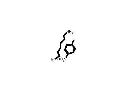 Cc1ccc(S(=O)(=O)O)cc1.NCCCCCCBr